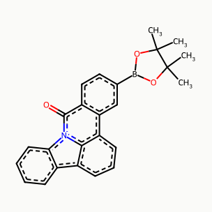 CC1(C)OB(c2ccc3c(=O)n4c5ccccc5c5cccc(c3c2)c54)OC1(C)C